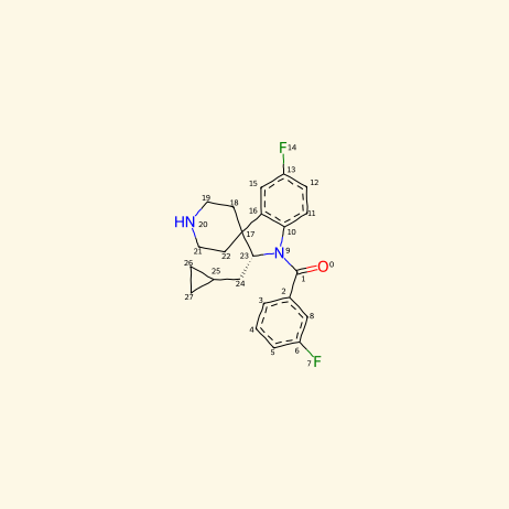 O=C(c1cccc(F)c1)N1c2ccc(F)cc2C2(CCNCC2)[C@H]1CC1CC1